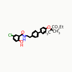 CCOC(=O)C(C)(C)Oc1ccc(-c2ccc(CCNC(=O)c3cc(Cl)ccc3O)cc2)cc1